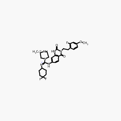 COc1ccc(CCn2c(=O)[nH]c3cc(N/C(=N\C4CCC(F)(F)CC4)N4CCN[C@@H](C)C4)ccc3c2=O)c(F)c1